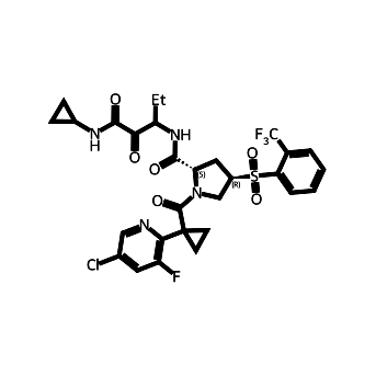 CCC(NC(=O)[C@@H]1C[C@@H](S(=O)(=O)c2ccccc2C(F)(F)F)CN1C(=O)C1(c2ncc(Cl)cc2F)CC1)C(=O)C(=O)NC1CC1